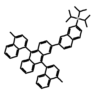 Cc1ccc(-c2c3ccccc3c(-c3ccc(C)c4ccccc34)c3cc(-c4ccc5ccc([Si](C(C)C)(C(C)C)C(C)C)cc5c4)ccc23)c2ccccc12